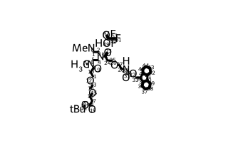 CNCCN(CCN(C)C(=O)CCOCCOCCC(=O)OC(C)(C)C)C(=O)CCOCCNC(=O)OCC1c2ccccc2-c2ccccc21.O=C(O)C(F)(F)F